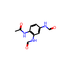 CC(=O)Nc1ccc(NC=O)cc1NC=O